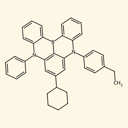 CCc1ccc(N2c3ccccc3B3c4ccccc4N(c4ccccc4)c4cc(C5CCCCC5)cc2c43)cc1